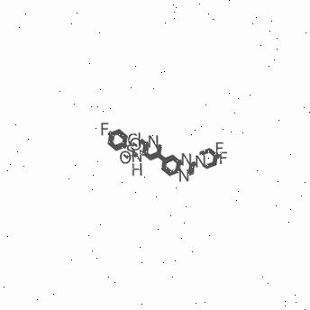 O=S(=O)(Nc1cc(-c2ccc3ncc(N4CCC(F)(F)CC4)nc3c2)cnc1Cl)c1ccc(F)cc1